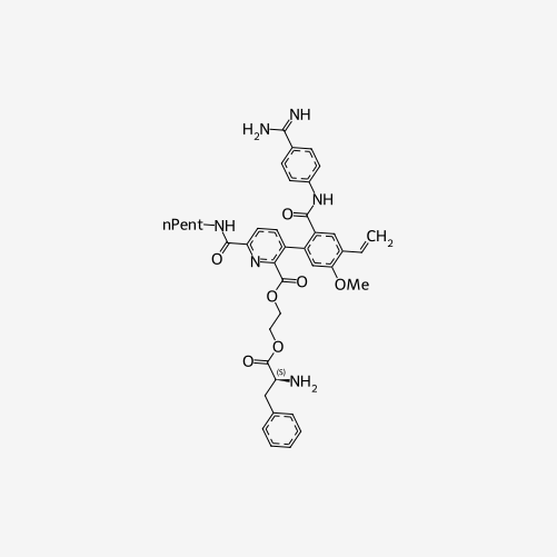 C=Cc1cc(C(=O)Nc2ccc(C(=N)N)cc2)c(-c2ccc(C(=O)NCCCCC)nc2C(=O)OCCOC(=O)[C@@H](N)Cc2ccccc2)cc1OC